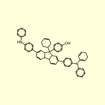 Oc1ccc(C2(C3CC=CCC3)C3C=C(c4ccc(Nc5ccccc5)cc4)C=CC3C3C=CC(c4ccc(N(C5=CCCC=C5)c5ccccc5)cc4)=CC32)cc1